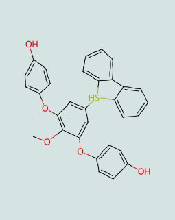 COc1c(Oc2ccc(O)cc2)cc([SH]2c3ccccc3-c3ccccc32)cc1Oc1ccc(O)cc1